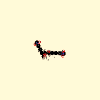 C=CC(=O)c1ccc(-c2ccc(-c3ccc(N4C(=O)C=CC4=O)cc3)cc2)cc1C(=O)/C(C)=C\CC(=C)C(=O)c1ccc(-c2ccc(C3CCC(N4C(=O)C=CC4=O)CC3)cc2)cc1